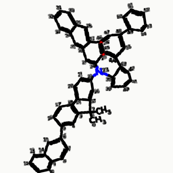 CC1(C)c2cc(-c3ccc4ccccc4c3)ccc2-c2ccc(N(c3ccc4cc5ccccc5cc4c3)c3ccccc3-c3cccc(-c4ccccc4)c3)cc21